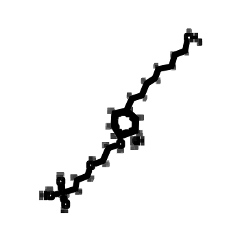 CCCCCCCCCc1ccc(OCCOCCCS(=O)(=O)O)cc1.[KH]